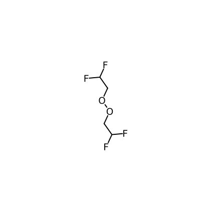 FC(F)COOCC(F)F